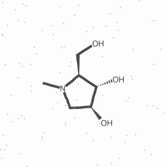 CN1C[C@H](O)[C@@H](O)[C@@H]1CO